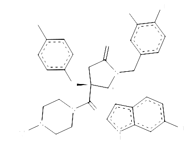 Cc1ccc(O[C@@]2(C(=O)N3CCN(C(=O)O)CC3)CC(=O)N(Cc3ccc(Cl)c(F)c3)[C@@H]2c2c[nH]c3cc(Cl)ccc23)cc1